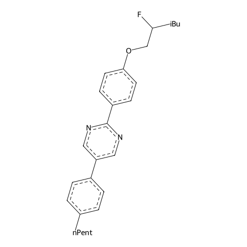 CCCCCc1ccc(-c2cnc(-c3ccc(OCC(F)C(C)CC)cc3)nc2)cc1